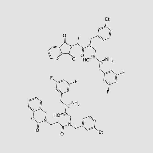 CCc1cccc(CN(C[C@@H](O)[C@@H](N)Cc2cc(F)cc(F)c2)C(=O)C(C)N2C(=O)c3ccccc3C2=O)c1.CCc1cccc(CN(C[C@@H](O)[C@@H](N)Cc2cc(F)cc(F)c2)C(=O)CCN2Cc3ccccc3OC2=O)c1